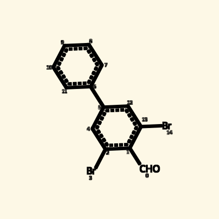 O=Cc1c(Br)cc(-c2ccccc2)cc1Br